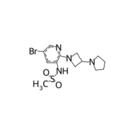 CS(=O)(=O)Nc1cc(Br)cnc1N1CC(N2CCCC2)C1